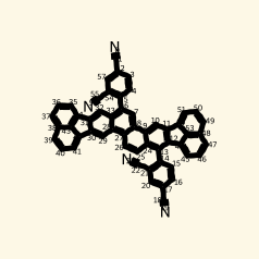 N#Cc1ccc(-c2cc3c4cc5c(c(-c6ccc(C#N)cc6C#N)c4ccc3c3cc4c(cc23)-c2cccc3cccc-4c23)-c2cccc3cccc-5c23)c(C#N)c1